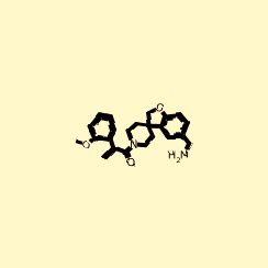 C=C(C(=O)N1CCC2(CC1)COc1ccc(CN)cc12)c1ccccc1OC